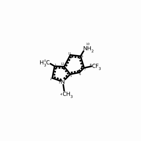 Cc1cn(C)c2cc(C(F)(F)F)c(N)cc12